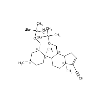 C#CC1=CCC2[C@H](CO[Si](C)(C)C(C)(C)C)C([C@@]3(C)CC[C@H](C)C[C@@H]3CO[Si](C)(C)C(C)(C)C)CC[C@]12C